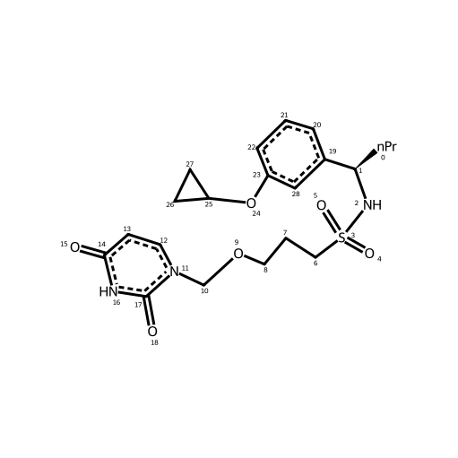 CCC[C@@H](NS(=O)(=O)CCCOCn1ccc(=O)[nH]c1=O)c1cccc(OC2CC2)c1